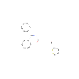 O=C(CNC(=O)c1cccs1)NC(c1ccccc1)c1ccc(Cl)cc1